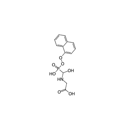 O=C(O)CNC(O)P(=O)(O)OOc1cccc2ccccc12